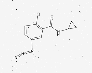 [N-]=[N+]=Nc1ccc(Cl)c(C(=O)NC2CC2)c1